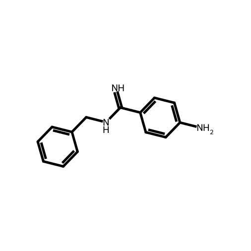 N=C(NCc1ccccc1)c1ccc(N)cc1